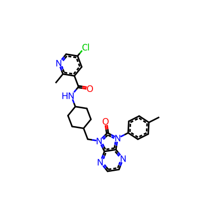 Cc1ccc(-n2c(=O)n(CC3CCC(NC(=O)c4cc(Cl)cnc4C)CC3)c3nccnc32)cc1